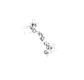 Cc1cc(OC2CC3CNC(N)=C(/C=C(\N)c4cccc(F)c4O)N3C2)ncc1CN1CCN(c2ccc(CN(C=O)C3CCC(=O)NC3=O)c(C)c2)CC1